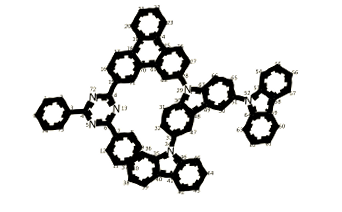 c1ccc(-c2nc(-c3ccccc3)nc(-c3ccc4c5ccccc5c5ccc(-n6c7ccc(-n8c9ccccc9c9ccccc98)cc7c7cc(-n8c9ccccc9c9ccccc98)ccc76)cc5c4c3)n2)cc1